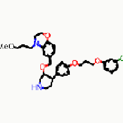 COCCCN1CCOc2ccc(COC3CNCCC3c3ccc(OCCCOc4cccc(Cl)c4)cc3)cc21